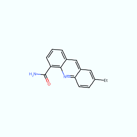 CCc1ccc2nc3c(C(N)=O)cccc3cc2c1